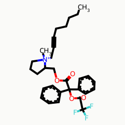 CCCCCC#CC[N+]1(C)CCCC1COC(=O)C(OC(=O)C(F)(F)F)(c1ccccc1)c1ccccc1